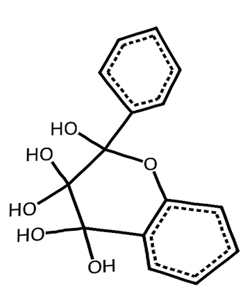 OC1(O)c2ccccc2OC(O)(c2ccccc2)C1(O)O